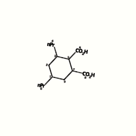 CCCC1CC(CCC)C(C(=O)O)C(C(=O)O)C1